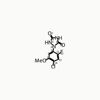 COc1cc(-n2[nH]c(=O)[nH]c2=O)c(F)cc1Cl